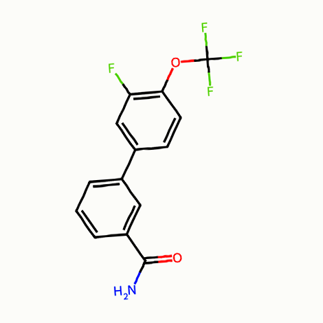 NC(=O)c1cccc(-c2ccc(OC(F)(F)F)c(F)c2)c1